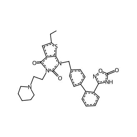 CCc1cc2c(=O)n(CCN3CCCCC3)c(=O)n(Cc3ccc(-c4ccccc4-c4noc(=O)[nH]4)cc3)c2s1